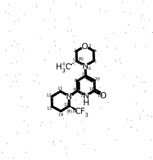 C[C@@H]1COCCN1c1cc(N2CCCC[C@@H]2C(F)(F)F)[nH]c(=O)c1